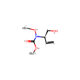 C=C[C@H](CO)N(OCCCC)C(=O)OC(C)(C)C